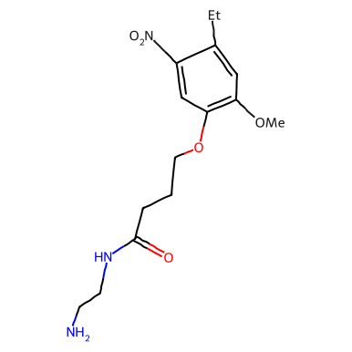 CCc1cc(OC)c(OCCCC(=O)NCCN)cc1[N+](=O)[O-]